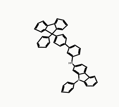 c1ccc(-n2c3ccccc3c3ccc(Nc4cccc(-c5ccc(C6(c7ccccc7)c7ccccc7-c7ccccc76)cc5)c4)cc32)cc1